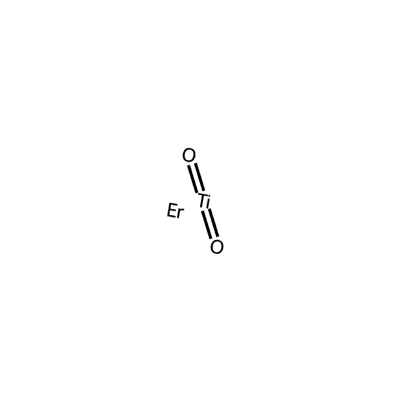 [Er].[O]=[Ti]=[O]